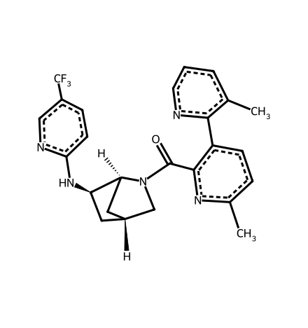 Cc1ccc(-c2ncccc2C)c(C(=O)N2C[C@@H]3C[C@@H](Nc4ccc(C(F)(F)F)cn4)[C@@H]2C3)n1